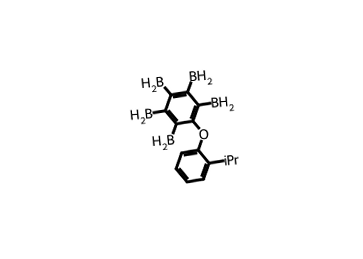 Bc1c(B)c(B)c(Oc2ccccc2C(C)C)c(B)c1B